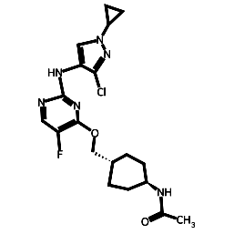 CC(=O)N[C@H]1CC[C@H](COc2nc(Nc3cn(C4CC4)nc3Cl)ncc2F)CC1